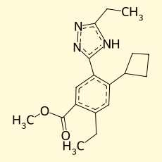 CCc1nnc(-c2cc(C(=O)OC)c(CC)cc2C2CCC2)[nH]1